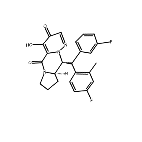 Cc1cc(F)ccc1C(c1cccc(F)c1)[C@H]1[C@H]2CCCN2C(=O)c2c(O)c(=O)cnn21